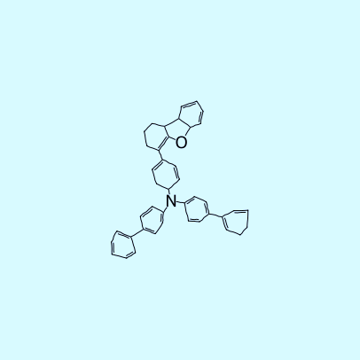 C1=CC2OC3=C(C4=CCC(N(c5ccc(C6=CCCC=C6)cc5)c5ccc(-c6ccccc6)cc5)C=C4)CCCC3C2C=C1